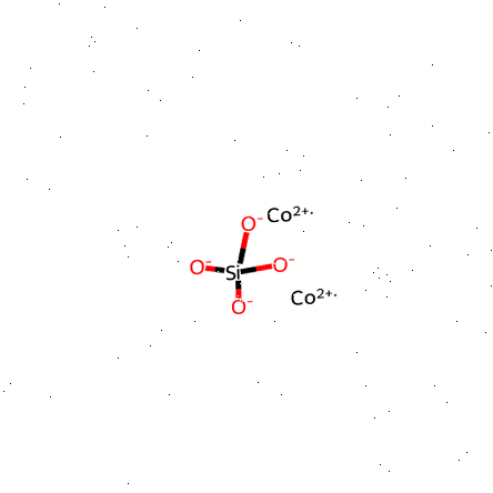 [Co+2].[Co+2].[O-][Si]([O-])([O-])[O-]